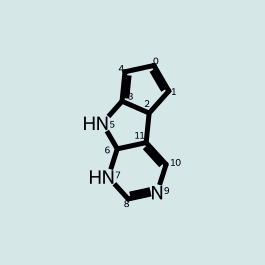 C1=CC2C(=C1)NC1NC=NC=C12